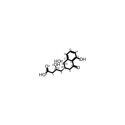 O=C(O)C[C@@H](O)C[C@@H]1CC(=O)c2c(O)cccc2[C@H]1O